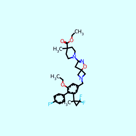 CCOC(=O)C1(C)CCN(C2=NOC3(C2)CN(Cc2cc(OCC)c(-c4ccc(F)cc4)c(C4(C)CC4(F)F)c2)C3)CC1